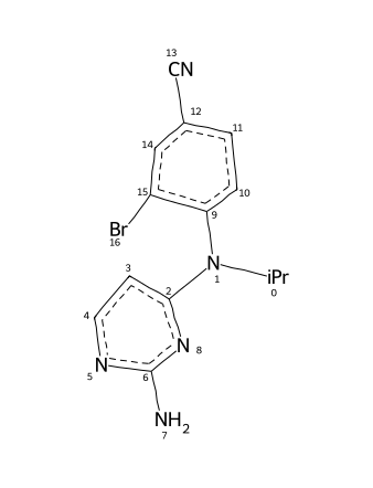 CC(C)N(c1ccnc(N)n1)c1ccc(C#N)cc1Br